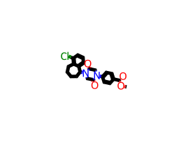 COC(=O)c1ccc(N2CC(=O)N(C3CCCCc4c(Cl)cccc43)CC2=O)cc1